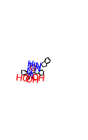 O=c1c(C2=NS(O)(O)c3ccccc3N2)c(O)c2ccccc2n1NC1CCc2ccccc2C1